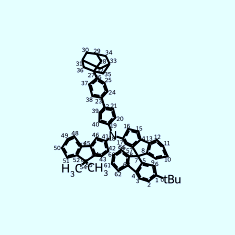 CC(C)(C)c1ccc2c(c1)C1(c3ccccc3-c3ccc(N(c4ccc(-c5ccc(C67CC8CC(CC(C8)C6)C7)cc5)cc4)c4ccc5c(c4)-c4ccccc4C5(C)C)cc31)c1ccccc1-2